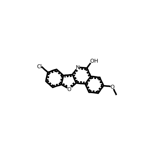 COc1ccc2c(c1)c(O)nc1c3cc(Cl)ccc3oc21